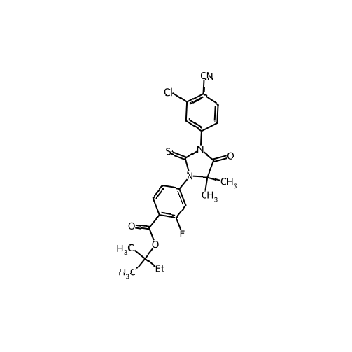 CCC(C)(C)OC(=O)c1ccc(N2C(=S)N(c3ccc(C#N)c(Cl)c3)C(=O)C2(C)C)cc1F